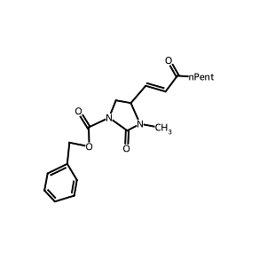 CCCCCC(=O)C=CC1CN(C(=O)OCc2ccccc2)C(=O)N1C